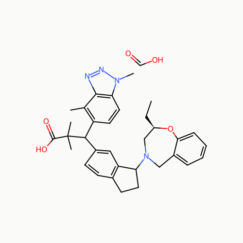 CC[C@@H]1CN(C2CCc3ccc(C(c4ccc5c(nnn5C)c4C)C(C)(C)C(=O)O)cc32)Cc2ccccc2O1.O=CO